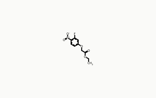 CCOC(=O)COc1ccc([N+](=O)[O-])c(F)c1